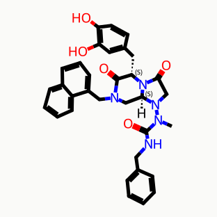 CN(C(=O)NCc1ccccc1)N1CC(=O)N2[C@@H](Cc3ccc(O)c(O)c3)C(=O)N(Cc3cccc4ccccc34)C[C@@H]21